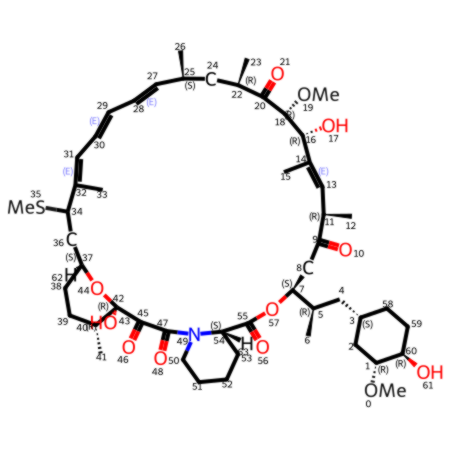 CO[C@@H]1C[C@H](C[C@@H](C)[C@@H]2CC(=O)[C@H](C)/C=C(\C)[C@@H](O)[C@@H](OC)C(=O)[C@H](C)C[C@H](C)/C=C/C=C/C=C(\C)C(SC)C[C@@H]3CC[C@@H](C)[C@@](O)(O3)C(=O)C(=O)N3CCCC[C@H]3C(=O)O2)CC[C@H]1O